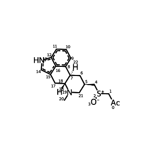 CC(=O)C[S@+]([O-])C[C@@H]1C[C@@H]2c3cccc4[nH]cc(c34)C[C@H]2N(C)C1